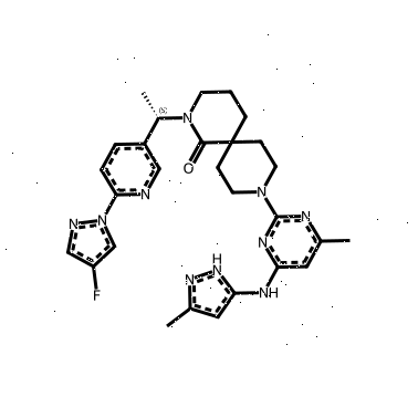 Cc1cc(Nc2cc(C)nc(N3CCC4(CCCN([C@@H](C)c5ccc(-n6cc(F)cn6)nc5)C4=O)CC3)n2)[nH]n1